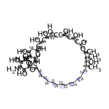 C[C@@H]1[C@H](O)[C@@H](C)/C=C/C=C/C=C/C=C/C=C/C=C/C=C/[C@H](O[C@@H]2O[C@H](C)[C@@H](O)[C@H](N)[C@@H]2O)C[C@@H]2O[C@](O)(C[C@@H](O)C[C@@H](O)[C@H](O)CC[C@@H](O)C[C@@H](O)CC(=O)O[C@H]1C)C[C@H](O)[C@H]2C(N)=O